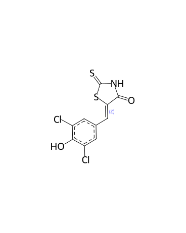 O=C1NC(=S)S/C1=C\c1cc(Cl)c(O)c(Cl)c1